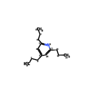 CCCc1cc(CCC)nc(CCC)c1